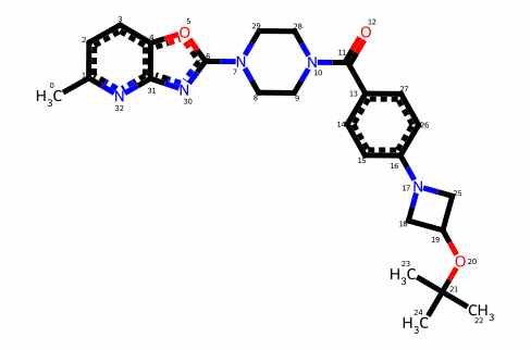 Cc1ccc2oc(N3CCN(C(=O)c4ccc(N5CC(OC(C)(C)C)C5)cc4)CC3)nc2n1